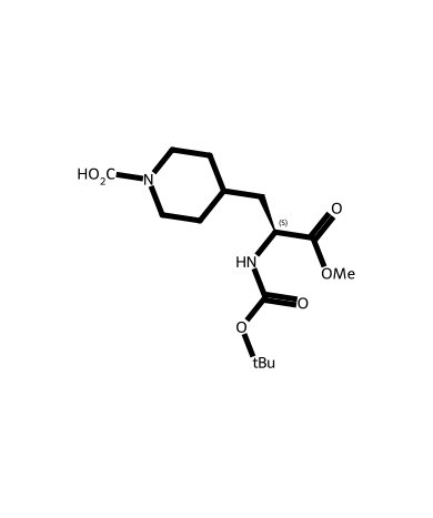 COC(=O)[C@H](CC1CCN(C(=O)O)CC1)NC(=O)OC(C)(C)C